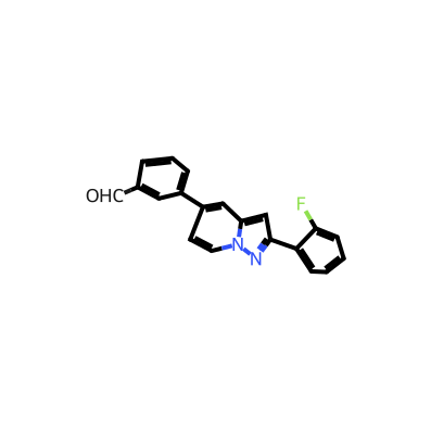 O=Cc1cccc(-c2ccn3nc(-c4ccccc4F)cc3c2)c1